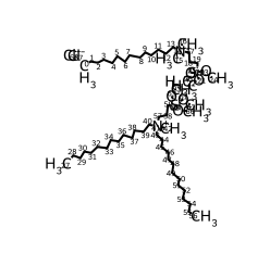 CCCCCCCCCCCCCC[N+](C)(C)CCC[Si](OC)(OC)OC.CCCCCCCCCCCCCC[N+](C)(CCCCCCCCCCCCCC)CCC[Si](OC)(OC)OC.[Cl-].[Cl-]